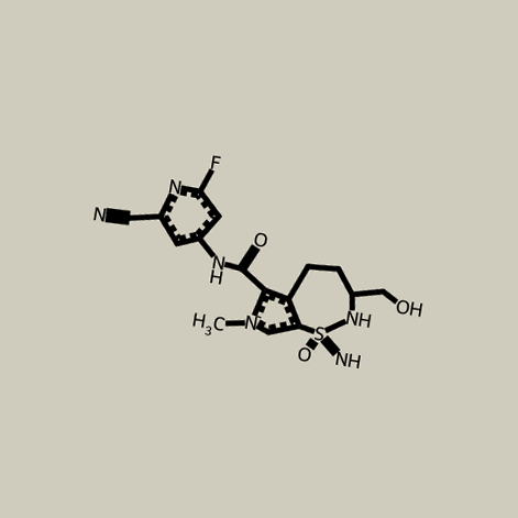 Cn1cc2c(c1C(=O)Nc1cc(F)nc(C#N)c1)CCC(CO)NS2(=N)=O